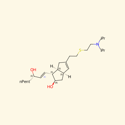 CCCCC[C@H](O)/C=C/[C@@H]1[C@H]2CC(CCSCCN(C(C)C)C(C)C)=C[C@H]2C[C@H]1O